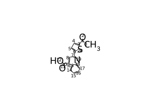 CC(=O)c1ccc(-c2cc(C(=O)O)c3ccccc3n2)s1